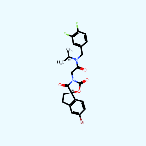 C[C@H](N(Cc1ccc(F)c(F)c1)C(=O)CN1C(=O)O[C@@]2(CCc3cc(Br)ccc32)C1=O)C(F)(F)F